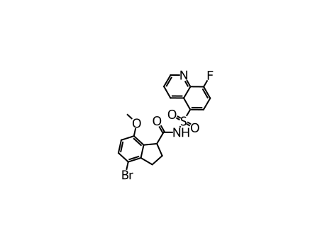 COc1ccc(Br)c2c1C(C(=O)NS(=O)(=O)c1ccc(F)c3ncccc13)CC2